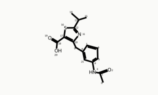 CC(=O)Nc1cccc(Cc2nc(C(C)C)sc2C(=O)O)c1